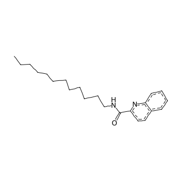 CCCCCCCCCCCCNC(=O)c1ccc2ccccc2n1